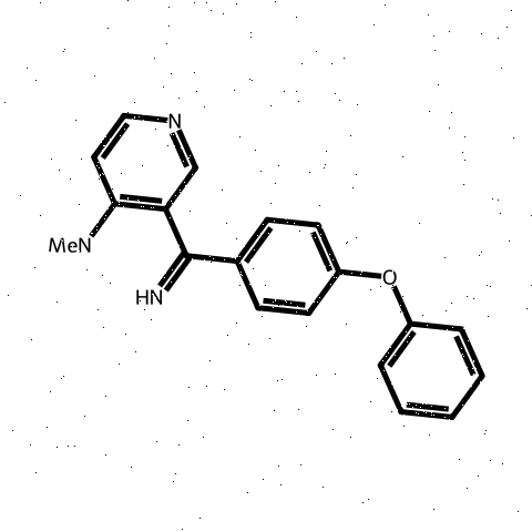 CNc1ccncc1C(=N)c1ccc(Oc2ccccc2)cc1